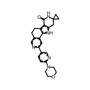 O=C1NC2(CC2)Cc2[nH]c3c(c21)CCc1cnc(-c2ccc(N4CCOCC4)nc2)cc1-3